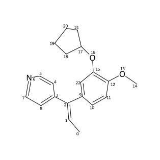 CC=C(c1ccncc1)c1ccc(OC)c(OC2CCCC2)c1